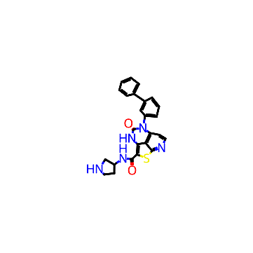 O=C(NC1CCNC1)c1sc2nccc3c2c1NC(=O)N3c1cccc(-c2ccccc2)c1